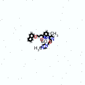 Cc1cnc(OCCN2CCN(C)CC2)cc1-c1cccc2c(CCCOc3cccc4ccccc34)c(OC(=O)O)[nH]c12